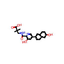 CC(C)(CNC(=O)c1ncc(-c2ccc3cc(O)ccc3c2)cc1O)C(=O)O